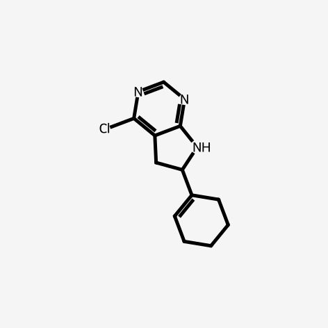 Clc1ncnc2c1CC(C1=CCCCC1)N2